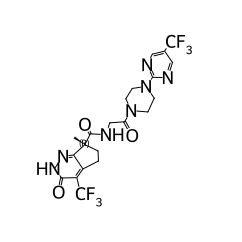 C[C@@]1(C(=O)NCC(=O)N2CCN(c3ncc(C(F)(F)F)cn3)CC2)CCc2c1n[nH]c(=O)c2C(F)(F)F